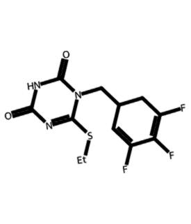 CCSc1nc(=O)[nH]c(=O)n1CC1C=C(F)C(F)=C(F)C1